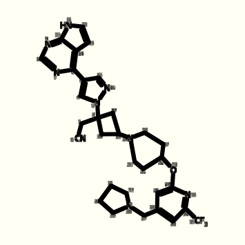 N#CCC1(n2cc(-c3ncnc4[nH]ccc34)cn2)CC(N2CCC(Oc3cc(CN4CCCC4)cc(C(F)(F)F)n3)CC2)C1